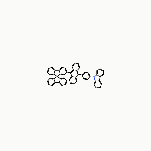 c1ccc2c(c1)-c1ccccc1C21c2ccccc2-c2ccc(-c3c4ccccc4c(-c4ccc(-n5c6ccccc6c6ccccc65)cc4)c4ccccc34)cc21